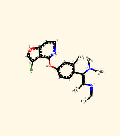 C/C=N\C(C)=C(\c1ccc(Oc2nccc3occ(Br)c23)cc1C)N(C)C=O